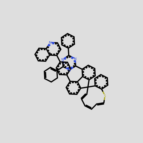 C1=CCCC(c2nc(-c3ccccc3)nc(-c3cccc4c3-c3c(-c5ccc(-c6ccnc7ccccc67)cc5)cccc3C43/C=C/C=C\C=C\Sc4ccccc43)n2)=C1